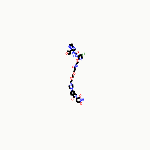 O=C(CCOCCOCCN1CCN(c2ccc3c(c2)CN(C2CCC(=O)NC2=O)C3=O)CC1)NCCOc1ncc(Cl)cc1NC(=O)Nc1cnc2ccnn2c1C1CCOC1